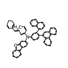 C\C=C/C(=C\C=C\C1=CCCC=C1)N(c1ccc(-c2cc3ccccc3c3ccccc23)c(-c2cccc3ccccc23)c1)c1ccc2c(c1)oc1ccccc12